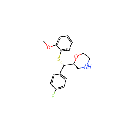 COc1ccccc1S[C@@H](c1ccc(F)cc1)[C@@H]1CNCCO1